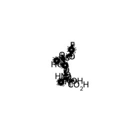 O=C(COc1ccc(C2C(SCC(=O)c3ccc(F)cc3)C(=O)N2c2ccccc2)c(O)c1)N[C@@H](C(=O)N[C@H](CO)C(=O)O)c1ccccc1